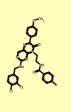 COc1ccc(-c2nc3cnc(NCc4ccc(Cl)c(Cl)c4)nc3n(CCNC(=O)c3ccc(F)cc3)c2=O)cc1